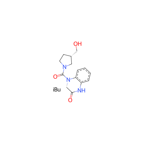 CC[C@H](C)[C@H]1C(=O)Nc2ccccc2N1C(=O)N1CC[C@H](CO)C1